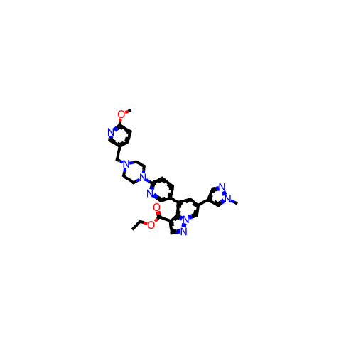 CCOC(=O)c1cnn2cc(-c3cnn(C)c3)cc(-c3ccc(N4CCN(Cc5ccc(OC)nc5)CC4)nc3)c12